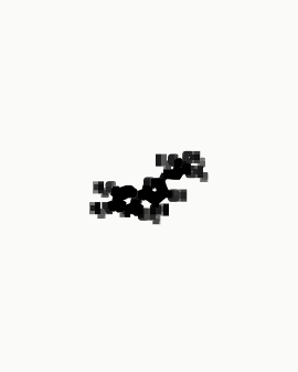 C=C1N=C(N)C(C)=CN1C1O[C@H](CCP(=C)(C)C)[C@@H](O)[C@H]1O